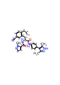 Cc1n[nH]c(C)c1-c1ccc(NC(=O)[C@@H](NC(=O)c2ccnn2C)[C@H]2CCCc3ccc(C#N)cc32)cc1